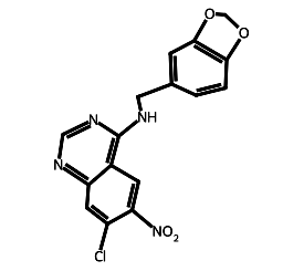 O=[N+]([O-])c1cc2c(NCc3ccc4c(c3)OCO4)ncnc2cc1Cl